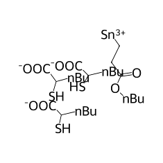 CCCCC(S)C(=O)[O-].CCCCC(S)C(=O)[O-].CCCCC(S)C(=O)[O-].CCCCOC(=O)C[CH2][Sn+3]